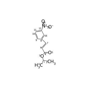 CC(C)OC(=O)C=Cc1cccc([N+](=O)[O-])c1